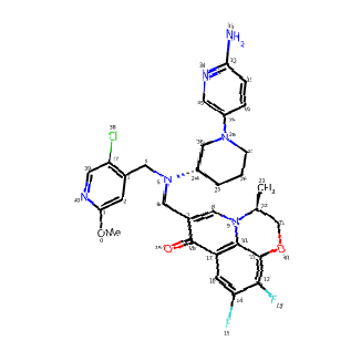 COc1cc(CN(Cc2cn3c4c(c(F)c(F)cc4c2=O)OC[C@@H]3C)[C@H]2CCCN(c3ccc(N)nc3)C2)c(Cl)cn1